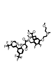 COCCN(C)CCOc1ccc(CN(C(=O)C(C=O)Nc2ccc(C(F)(F)F)cc2-c2cc(C(F)(F)F)ncn2)N(C)C2(C(=O)OC)CCC2)c(F)c1F